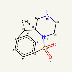 C.O=S1(=O)c2ccc(cc2)CC2CNCCN21